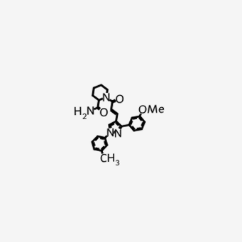 COc1cccc(-c2nn(-c3cccc(C)c3)cc2C=CC(=O)N2CCCCC2C(N)=O)c1